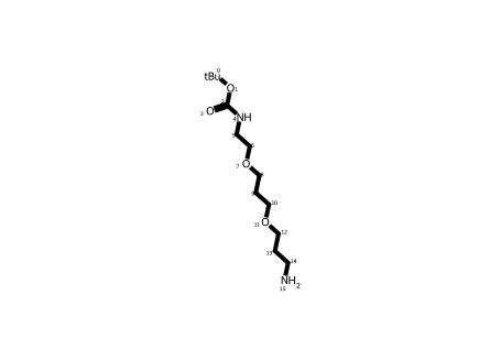 CC(C)(C)OC(=O)NCCOCCCOCCCN